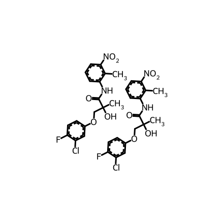 Cc1c(NC(=O)C(C)(O)COc2ccc(F)c(Cl)c2)cccc1[N+](=O)[O-].Cc1c(NC(=O)C(C)(O)COc2ccc(F)c(Cl)c2)cccc1[N+](=O)[O-]